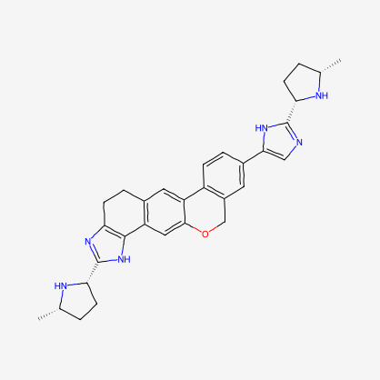 C[C@H]1CC[C@@H](c2ncc(-c3ccc4c(c3)COc3cc5c(cc3-4)CCc3nc([C@@H]4CC[C@H](C)N4)[nH]c3-5)[nH]2)N1